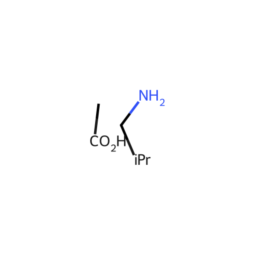 CC(=O)O.CC(C)CN